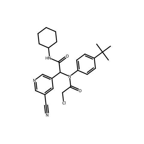 CC(C)(C)c1ccc(N(C(=O)CCl)C(C(=O)NC2CCCCC2)c2cncc(C#N)c2)cc1